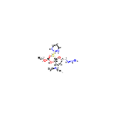 COC(=O)O[C@H]1[C@H](Sc2ncccn2)O[C@H](CN=[N+]=[N-])C[C@@H]1N(C)C